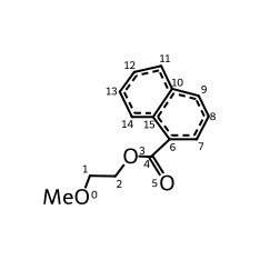 COCCOC(=O)c1cccc2ccccc12